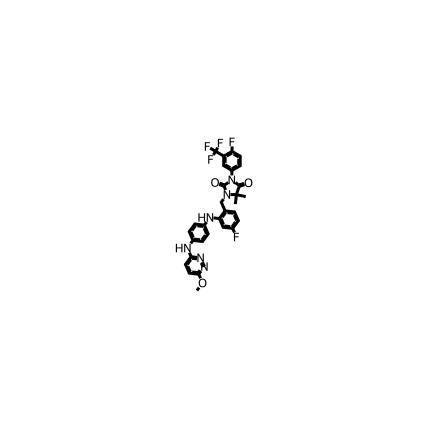 COc1ccc(Nc2ccc(Nc3cc(F)ccc3CN3C(=O)N(c4ccc(F)c(C(F)(F)F)c4)C(=O)C3(C)C)cc2)nn1